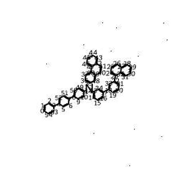 c1ccc(-c2ccc(-c3ccc(N(c4cccc(-c5cccc(-c6cccc7ccccc67)c5)c4)c4ccc5c(ccc6ccccc65)c4)cc3)cc2)cc1